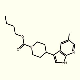 CCCCOC(=O)N1CCC(c2c[nH]c3ncc(F)cc23)CC1